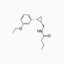 CCCC(=O)NC[C@@H]1C[C@H]1c1cccc(OCC)c1